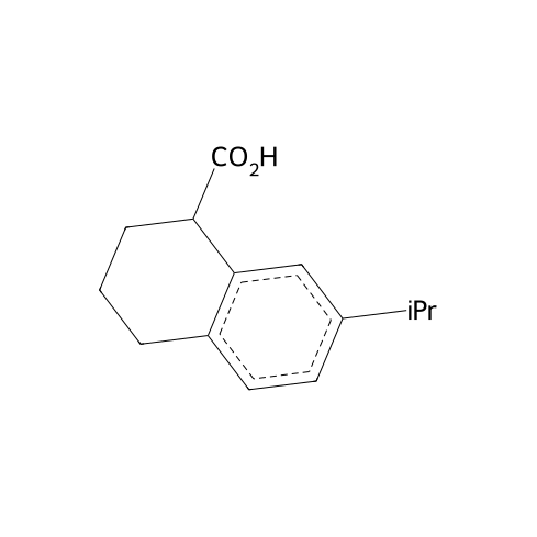 CC(C)c1ccc2c(c1)C(C(=O)O)CCC2